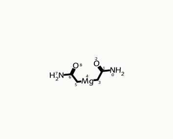 NC(=O)[CH2][Mg][CH2]C(N)=O